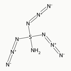 [N-]=[N+]=NS(N)(N=[N+]=[N-])N=[N+]=[N-]